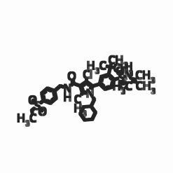 CCS(=O)(=O)c1ccc(CNC(=O)c2c(Cl)c(-c3ccc(S(=O)(=O)NC(C)(C)C)c(C(C)(C)C)c3)n(CC3CCCCC3)c2C)cc1